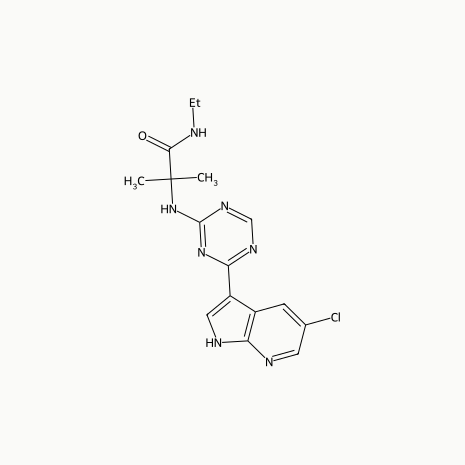 CCNC(=O)C(C)(C)Nc1ncnc(-c2c[nH]c3ncc(Cl)cc23)n1